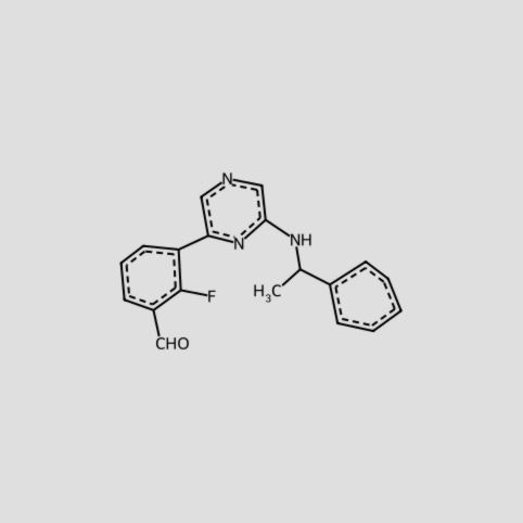 CC(Nc1cncc(-c2cccc(C=O)c2F)n1)c1ccccc1